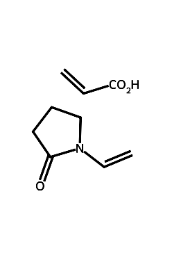 C=CC(=O)O.C=CN1CCCC1=O